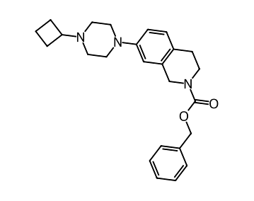 O=C(OCc1ccccc1)N1CCc2ccc(N3CCN(C4CCC4)CC3)cc2C1